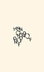 O=C(c1ocnc1C(F)F)N1CCc2[nH]cnc2[C@H]1c1nc2cc(F)ccc2o1